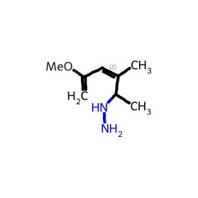 C=C(/C=C(/C)C(C)NN)OC